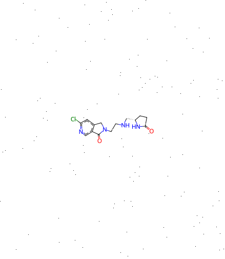 O=C1CC[C@@H](CNCCN2Cc3cc(Cl)ncc3C2=O)N1